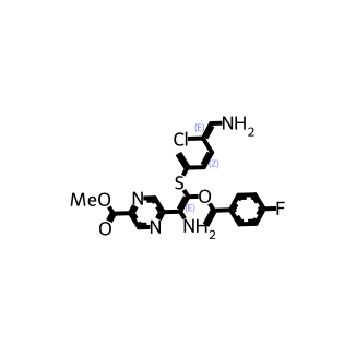 C=C(/C=C\C(Cl)=C/N)S/C(OC(=C)c1ccc(F)cc1)=C(/N)c1cnc(C(=O)OC)cn1